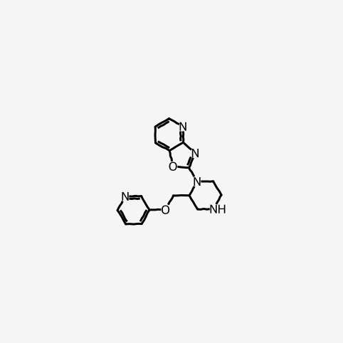 c1cncc(OCC2CNCCN2c2nc3ncccc3o2)c1